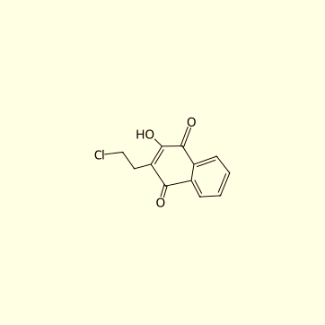 O=C1C(O)=C(CCCl)C(=O)c2ccccc21